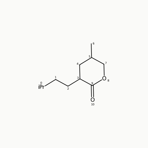 CC(C)CCC1CC(C)COC1=O